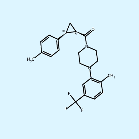 Cc1ccc([C@H]2C[C@H]2C(=O)N2CCN(c3cc(C(F)(F)F)ccc3C)CC2)cc1